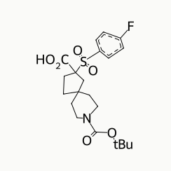 CC(C)(C)OC(=O)N1CCC2(CC1)CCC(C(=O)O)(S(=O)(=O)c1ccc(F)cc1)C2